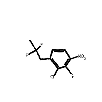 CC(F)(F)Cc1ccc([N+](=O)[O-])c(F)c1Cl